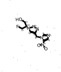 O=[N+]([O-])c1cncn1Cc1cn(C(CO)CF)nn1